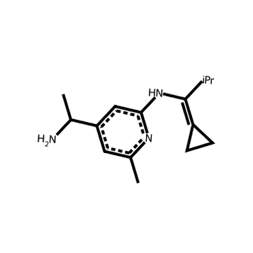 Cc1cc(C(C)N)cc(NC(=C2CC2)C(C)C)n1